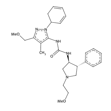 COCCN1C[C@@H](NC(=O)Nc2c(C)c(COC)nn2C2C=CC=CC2)[C@H](c2ccccc2)C1